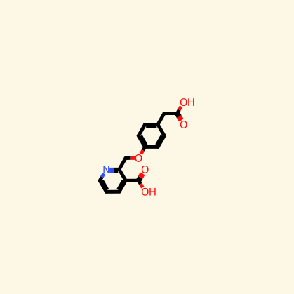 O=C(O)Cc1ccc(OCc2ncccc2C(=O)O)cc1